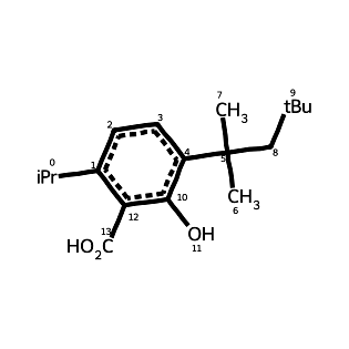 CC(C)c1ccc(C(C)(C)CC(C)(C)C)c(O)c1C(=O)O